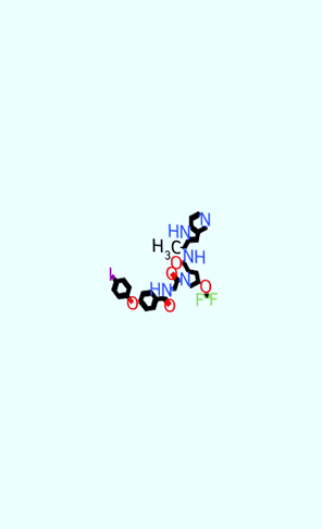 C[C@@H](NC(=O)C1C[C@@H](OC(F)F)CN1C(=O)CNC(=O)c1ccc(Oc2ccc(I)cc2)cc1)c1cc2cnccc2[nH]1